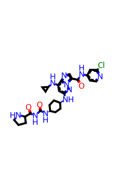 O=C(NC(=O)C1CCCN1)N[C@H]1CC[C@H](Nc2cc(NC3CC3)c3ncc(C(=O)Nc4ccnc(Cl)c4)n3n2)CC1